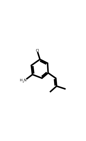 CC(C)=Cc1cc(N)cc(Cl)c1